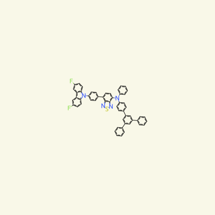 Fc1ccc2c(c1)c1cc(F)ccc1n2-c1ccc(-c2ccc(N(c3ccccc3)c3ccc(-c4cc(-c5ccccc5)cc(-c5ccccc5)c4)cc3)c3nsnc23)cc1